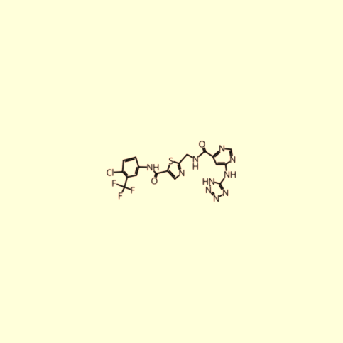 O=C(NCc1ncc(C(=O)Nc2ccc(Cl)c(C(F)(F)F)c2)s1)c1cc(Nc2nnn[nH]2)ncn1